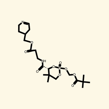 CC(C)(C)C(=O)OCOP1(=O)OCC(C)(C)[C@H](C(=O)NCCC(=O)OCC2CC=NCC2)O1